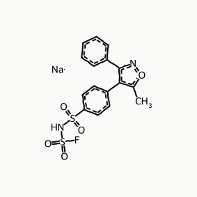 Cc1onc(-c2ccccc2)c1-c1ccc(S(=O)(=O)NS(=O)(=O)F)cc1.[Na]